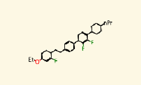 CCCC1CCC(C2=CCC(C3C=CC(CCC4CCC(OCC)C=C4F)=CC3)C(F)=C2F)CC1